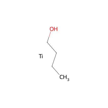 CCCCO.[Ti]